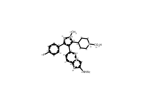 CC(=O)Nc1cn2nc(-c3c(-c4ccc(F)cc4)nn(C)c3C3CCN(C(=O)O)CC3)ccc2n1